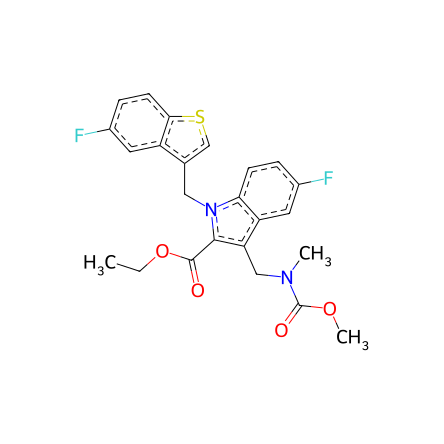 CCOC(=O)c1c(CN(C)C(=O)OC)c2cc(F)ccc2n1Cc1csc2ccc(F)cc12